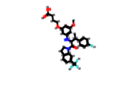 COc1cc(NC(C(=O)N2CCc3ccc(C(F)(F)F)cc32)[C@@H](C)c2ccc(F)cc2)cc(OCCCC(=O)O)c1